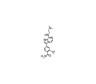 CN(C)CCNc1nccn2c(-c3ccc(C(N)=O)c(C4CC4)c3)cnc12